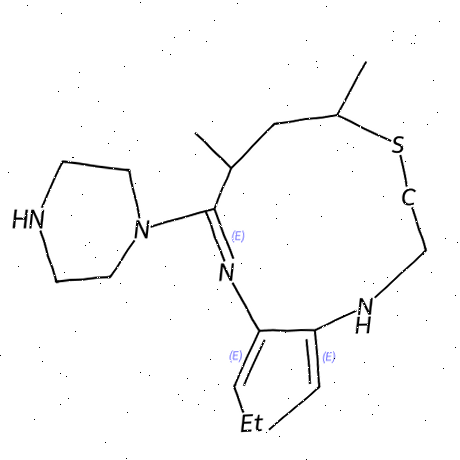 C/C=C1/NCCSC(C)CC(C)\C(N2CCNCC2)=N/C1=C/CC